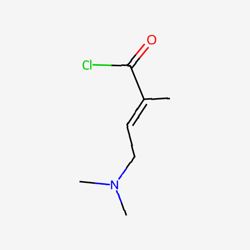 C/C(=C\CN(C)C)C(=O)Cl